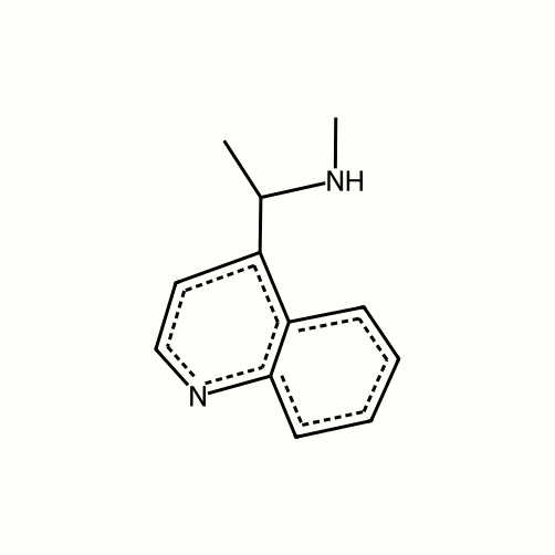 CNC(C)c1ccnc2ccccc12